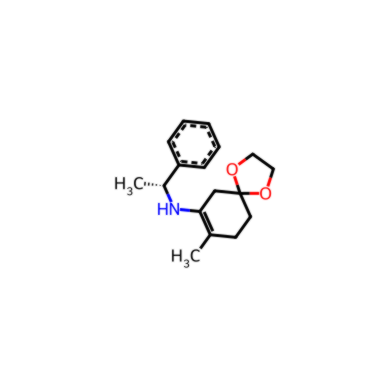 CC1=C(N[C@H](C)c2ccccc2)CC2(CC1)OCCO2